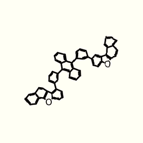 c1cc(-c2ccc3oc4ccc5ccccc5c4c3c2)cc(-c2c3ccccc3c(-c3cccc(-c4cccc5oc6c7ccccc7ccc6c45)c3)c3ccccc23)c1